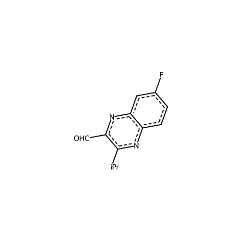 CC(C)c1nc2ccc(F)cc2nc1C=O